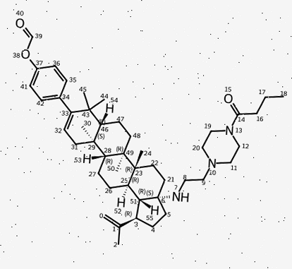 C=C(C)[C@@H]1CC[C@]2(NCCN3CCN(C(=O)CCC)CC3)CC[C@]3(C)[C@H](CC[C@@H]4[C@@]5(C)CC=C(c6ccc(OC=O)cc6)C(C)(C)[C@@H]5CC[C@]43C)[C@@H]12